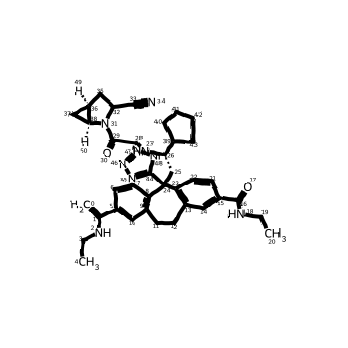 C=C(NCC)c1ccc2c(c1)CCc1cc(C(=O)NCC)ccc1C2(C[C@H](NCC(=O)N1C(C#N)C[C@@H]2C[C@@H]21)C1CCCC1)c1nnn[nH]1